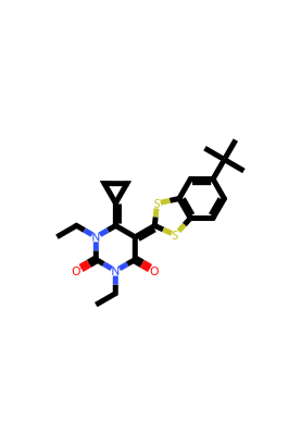 CCn1c(=O)/c(=C2\Sc3ccc(C(C)(C)C)cc3S2)c(=C2CC2)n(CC)c1=O